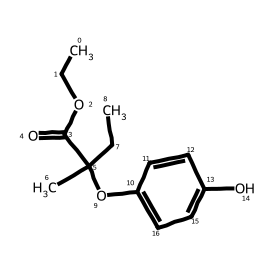 CCOC(=O)C(C)(CC)Oc1ccc(O)cc1